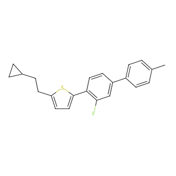 Cc1ccc(-c2ccc(-c3ccc(CCC4CC4)s3)c(F)c2)cc1